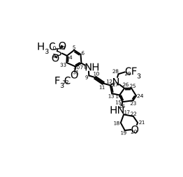 CS(=O)(=O)c1ccc(NCC#Cc2cc3c(NC4CCOCC4)cccc3n2CC(F)(F)F)c(OC(F)(F)F)c1